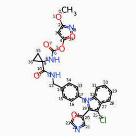 COc1cc(OC(=O)NC2(C(=O)NCc3ccc(-n4c(-c5cnco5)c(Cl)c5ccccc54)cc3)CC2)on1